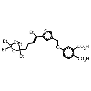 CCC(=CCCC(CC)(CC)O[Si](CC)(CC)CC)c1cc(COc2ccc(C(=O)O)c(C(=O)O)c2)cs1